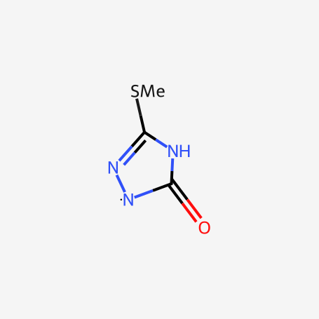 CSC1=N[N]C(=O)N1